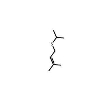 CC(C)=CCSC(C)C